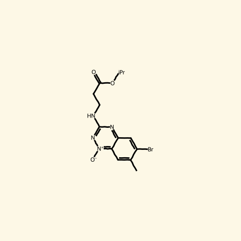 Cc1cc2c(cc1Br)nc(NCCC(=O)OC(C)C)n[n+]2[O-]